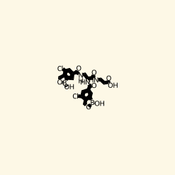 O=C(O)CCNC(=O)C(CNC(=O)c1cc(Cl)c2c(c1)B(O)OC2)NC(=O)c1cc(Cl)c2c(c1)B(O)OC2